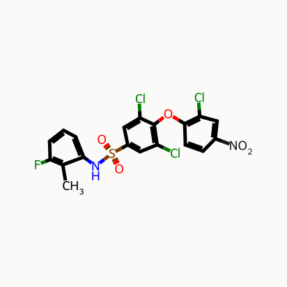 Cc1c(F)cccc1NS(=O)(=O)c1cc(Cl)c(Oc2ccc([N+](=O)[O-])cc2Cl)c(Cl)c1